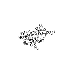 C=C[C@H](C)C[C@H](NC(=O)[C@H](CC(C)C)NC(=O)[C@H](C)N(C)C(=O)C(NC(=O)C(N)[C@H](O)C(C)C)[C@@H](C)CC)C(=O)N[C@@H](C)C(=O)N1CCCC[C@@H]1C(=O)O